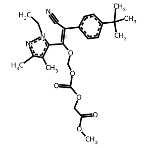 CCn1nc(C)c(C)c1/C(OCOC(=O)OCC(=O)OC)=C(\C#N)c1ccc(C(C)(C)C)cc1